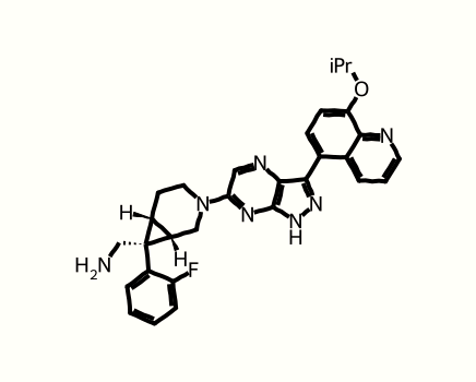 CC(C)Oc1ccc(-c2n[nH]c3nc(N4CC[C@@H]5[C@H](C4)[C@@]5(CN)c4ccccc4F)cnc23)c2cccnc12